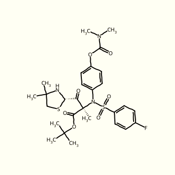 CN(C)C(=O)Oc1ccc(N([C@@](C)(C(=O)OC(C)(C)C)C(=O)[C@H]2NC(C)(C)CS2)S(=O)(=O)c2ccc(F)cc2)cc1